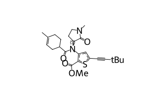 COC(=O)c1sc(C#CC(C)(C)C)cc1N(C(=O)C1CC=C(C)CC1)[C@H]1CCN(C)C1=O